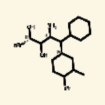 CCC[C@H](O)C(O)[C@@H](N)C(C1CCCCC1)[C@@H]1CCC(C(C)C)C(C)C1